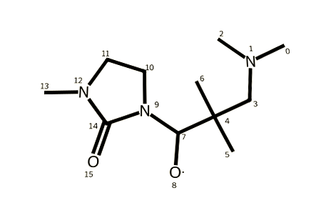 CN(C)CC(C)(C)C([O])N1CCN(C)C1=O